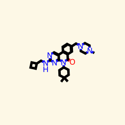 CN1CCN(Cc2ccc3c(c2)c(=O)n(C2CCC(C)(C)CC2)c2nc(NCC4CCC4)ncc32)CC1